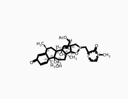 CC(=O)OCC(=O)[C@@]12ON(Cc3cccn(C)c3=O)C[C@@H]1C[C@@]1(C)[C@@H]3C[C@H](C)C4=CC(=O)C=C[C@]4(C)[C@@]3(C)[C@@H](O)C[C@@]12C